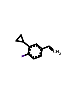 C=[C]c1ccc(I)c(C2CC2)c1